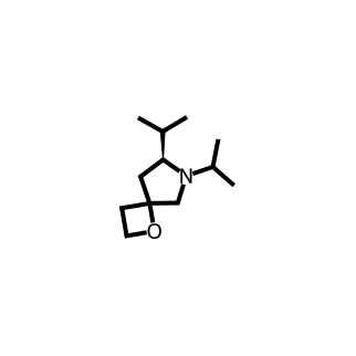 CC(C)[C@@H]1CC2(CCO2)CN1C(C)C